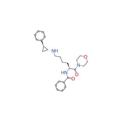 O=C(N[C@@H](CCCCN[C@@H]1C[C@H]1c1ccccc1)C(=O)N1CCOCC1)c1ccccc1